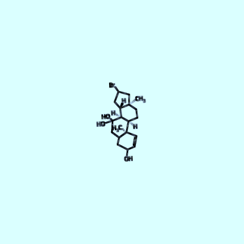 C[C@]12CC[C@@H]3[C@H]([C@@H]1CC(Br)C2)C(O)(O)CC1CC(O)C=C[C@@]13C